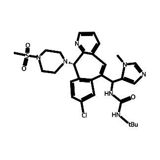 Cn1cncc1C(NC(=O)NC(C)(C)C)C1=Cc2cccnc2[C@@H](N2CCN(S(C)(=O)=O)CC2)c2ccc(Cl)cc21